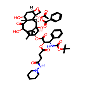 CC(=O)O[C@@]12CO[C@@H]1C[C@H](O)[C@@]1(C)C(=O)[C@H](O)C3=C(C)[C@@H](OC(=O)[C@H](OC(=O)CCC(=O)NN4CCCCC4)[C@@H](NC(=O)OC(C)(C)C)c4ccccc4)C[C@@](O)([C@@H](OC(=O)c4ccccc4)[C@H]21)C3(C)C